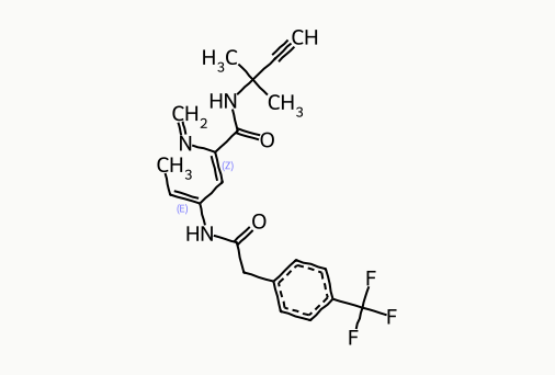 C#CC(C)(C)NC(=O)/C(=C/C(=C\C)NC(=O)Cc1ccc(C(F)(F)F)cc1)N=C